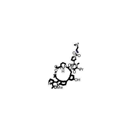 CCn1c(-c2cccnc2[C@H](C)OC)c2c3cc(ccc31)-c1cc(O)cc(c1)C[C@H](NC(=O)[C@H](C(C)C)N(C)C(=O)[C@H]1CCN(S(=O)(=O)/C=C/CN(C)C)C1)C(=O)N1CCC[C@H](N1)C(=O)OCC(C)(C)C2